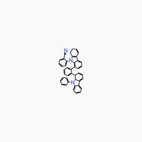 N#Cc1ccccc1-n1c2c(c3cccc(-c4ccccc4C4C=CC=C5c6ccccc6N(c6ccccc6)C54)c31)C=CCC2